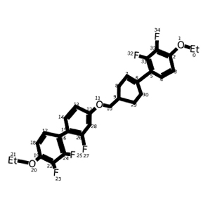 CCOc1ccc(C2=CCC(COc3ccc(-c4ccc(OCC)c(F)c4F)c(F)c3)CC2)c(F)c1F